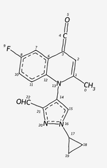 CC1=CC(=C=O)c2cc(F)ccc2N1c1cn(C2CC2)nc1C=O